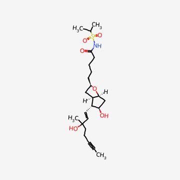 CC#CCCC(C)(O)/C=C/[C@@H]1[C@H]2C[C@@H](CCCCC(=O)NS(=O)(=O)C(C)C)O[C@H]2C[C@H]1O